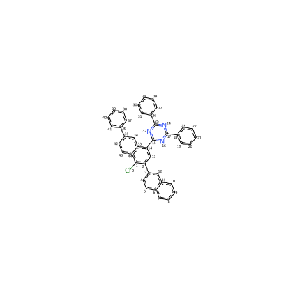 Clc1c(-c2ccc3ccccc3c2)cc(-c2nc(-c3ccccc3)nc(-c3ccccc3)n2)c2cc(-c3ccccc3)ccc12